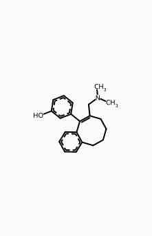 CN(C)CC1=C(c2cccc(O)c2)c2ccccc2CCCC1